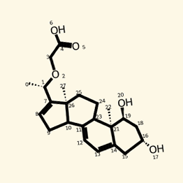 C[C@H](OCC(=O)O)C1=CCC2C3=CC=C4C[C@@H](O)C[C@H](O)[C@]4(C)C3CC[C@]12C